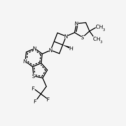 CC1(C)CN=C(N2CC3[C@H]2CN3c2ncnc3sc(CC(F)(F)F)cc23)S1